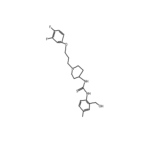 Cc1ccc(NC(=S)NC2CCN(CCCOc3ccc(F)c(F)c3)CC2)c(CO)c1